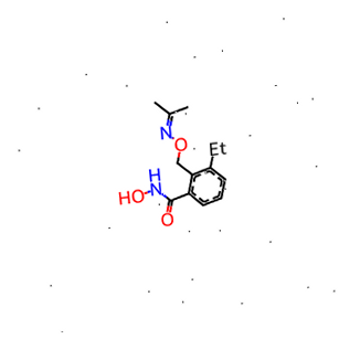 CCc1cccc(C(=O)NO)c1CON=C(C)C